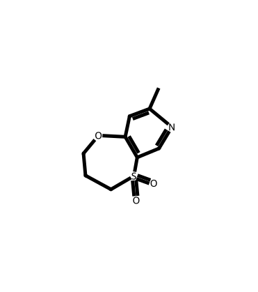 Cc1cc2c(cn1)S(=O)(=O)CCCO2